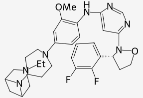 CCN1CC2CC(C1)N2C1CCN(c2ccc(Nc3cc(N4OCC[C@@H]4c4cccc(F)c4F)ncn3)c(OC)c2)CC1